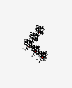 CN1CC[C@]23c4c5ccc(O)c4O[C@H]2C(=O)CC[C@H]3[C@H]1C5.CN1CC[C@]23c4c5ccc(O)c4O[C@H]2C(=O)CC[C@H]3[C@H]1C5.CN1CC[C@]23c4c5ccc(O)c4O[C@H]2C(=O)CC[C@H]3[C@H]1C5.CN1CC[C@]23c4c5ccc(O)c4O[C@H]2C(=O)CC[C@H]3[C@H]1C5.CN1CC[C@]23c4c5ccc(O)c4O[C@H]2C(=O)CC[C@H]3[C@H]1C5